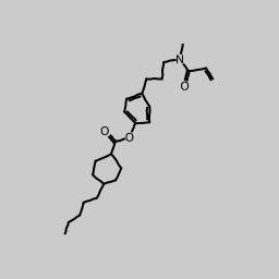 C=CC(=O)N(C)CCCc1ccc(OC(=O)C2CCC(CCCCC)CC2)cc1